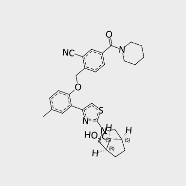 Cc1ccc(OCc2ccc(C(=O)N3CCCCC3)cc2C#N)c(-c2csc(N3C[C@H]4CC[C@@H](C3)[C@H]4C(=O)O)n2)c1